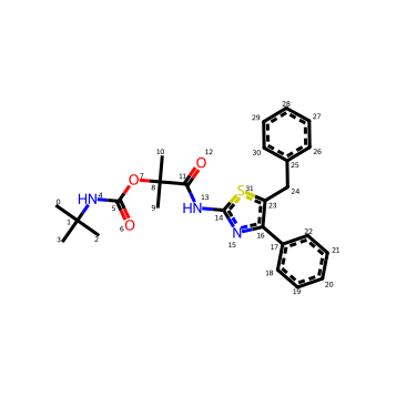 CC(C)(C)NC(=O)OC(C)(C)C(=O)Nc1nc(-c2ccccc2)c(Cc2ccccc2)s1